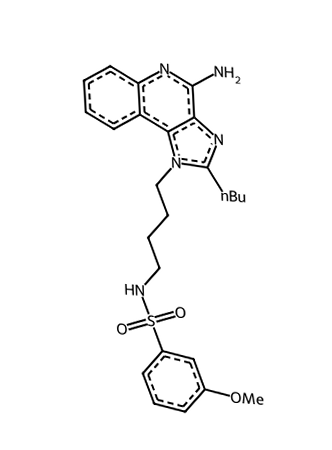 CCCCc1nc2c(N)nc3ccccc3c2n1CCCCNS(=O)(=O)c1cccc(OC)c1